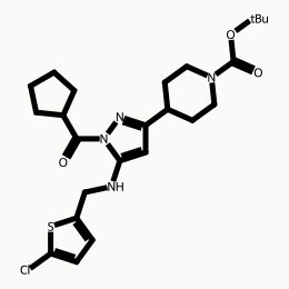 CC(C)(C)OC(=O)N1CCC(c2cc(NCc3ccc(Cl)s3)n(C(=O)C3CCCC3)n2)CC1